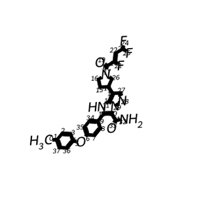 Cc1ccc(Oc2ccc(-c3[nH]c4c(C5CCN(C(=O)C(F)=CC(F)F)C5)cnn4c3C(N)=O)cc2)cc1